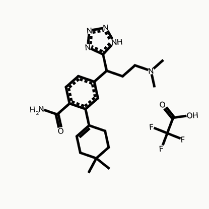 CN(C)CCC(c1ccc(C(N)=O)c(C2=CCC(C)(C)CC2)c1)c1nnn[nH]1.O=C(O)C(F)(F)F